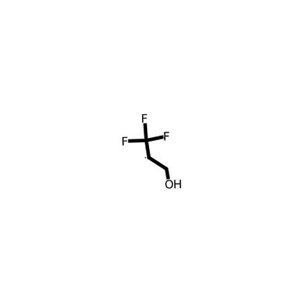 OC[CH]C(F)(F)F